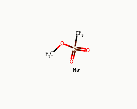 O=S(=O)(OC(F)(F)F)C(F)(F)F.[Na]